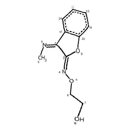 C/N=C1\C(=N\OCCO)Oc2ccccc21